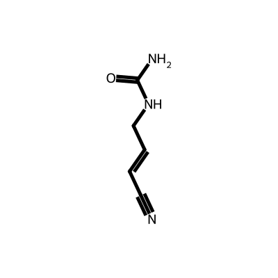 N#CC=CCNC(N)=O